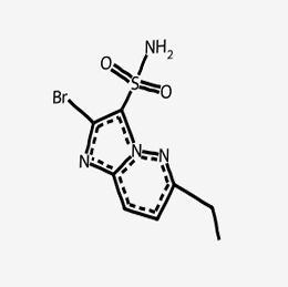 CCc1ccc2nc(Br)c(S(N)(=O)=O)n2n1